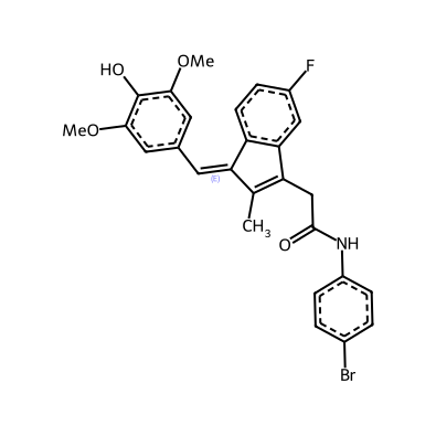 COc1cc(/C=C2/C(C)=C(CC(=O)Nc3ccc(Br)cc3)c3cc(F)ccc32)cc(OC)c1O